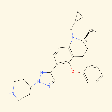 C[C@H]1CCc2c(ccc(-c3cnn(C4CCNCC4)n3)c2Oc2ccccc2)N1[C]C1CC1